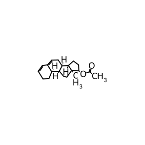 CC(=O)O[C@H]1CC[C@H]2[C@@H]3CC=C4C=CCC[C@@H]4[C@H]3CC[C@]12C